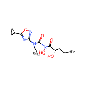 CC(C)CC[C@H](O)C(=O)N(O)C(=O)N(CC(C)(C)C)c1noc(C2CC2)n1